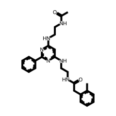 CC(=O)NCCNc1cc(NCCNC(=O)Cc2ccccc2C)nc(-c2ccccc2)n1